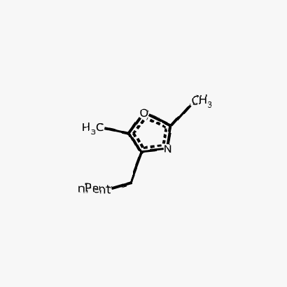 CCCCCCc1nc(C)oc1C